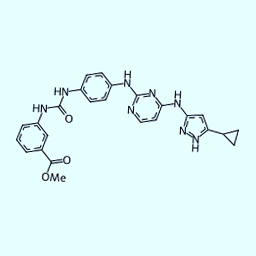 COC(=O)c1cccc(NC(=O)Nc2ccc(Nc3nccc(Nc4cc(C5CC5)[nH]n4)n3)cc2)c1